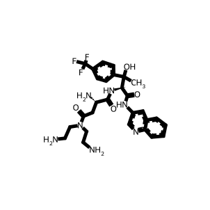 CC(O)(c1ccc(C(F)(F)F)cc1)[C@H](NC(=O)[C@@H](N)CC(=O)N(CCN)CCN)C(=O)Nc1cnc2ccccc2c1